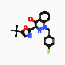 CC(C)(C)c1cnc(-c2nn(Cc3ccc(F)cc3)c3ccccc3c2=O)o1